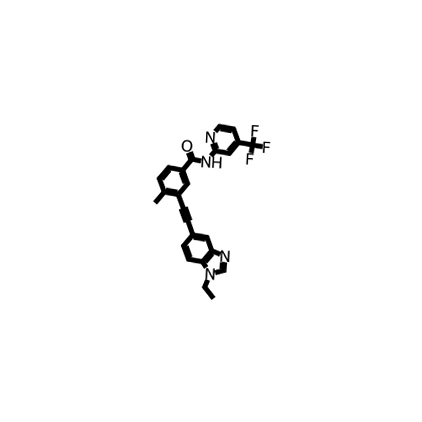 CCn1cnc2cc(C#Cc3cc(C(=O)Nc4cc(C(F)(F)F)ccn4)ccc3C)ccc21